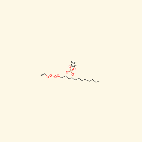 C=COOOOCCCCCCCCCCCC.O=S(=O)([O-])[O-].[Na+].[Na+]